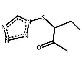 CCC(Sn1cnnn1)C(C)=O